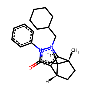 CC1(C)[C@@H]2CC[C@@]1(C)c1c2c(=O)n(-c2ccccc2)n1CC1CCCCC1